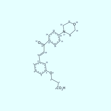 O=C(O)CCOc1cccc(/C=C/C(=O)c2ccc(N3CCOCC3)cc2)c1